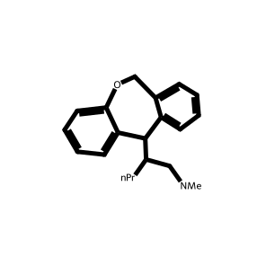 CCCC(CNC)C1c2ccccc2COc2ccccc21